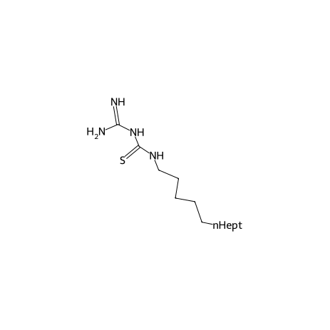 CCCCCCCCCCCCNC(=S)NC(=N)N